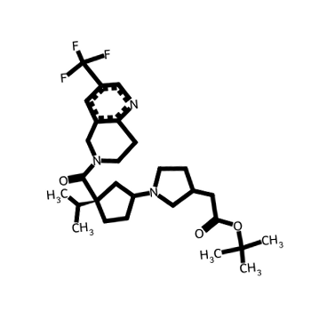 CC(C)[C@]1(C(=O)N2CCc3ncc(C(F)(F)F)cc3C2)CCC(N2CCC(CC(=O)OC(C)(C)C)C2)C1